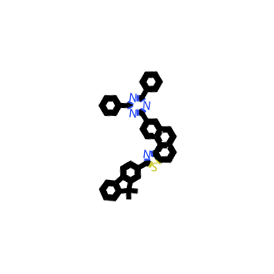 CC1(C)c2ccccc2-c2ccc(-c3nc4c(ccc5ccc6cc(-c7nc(-c8ccccc8)nc(-c8ccccc8)n7)ccc6c54)s3)cc21